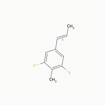 C/C=C/c1cc(F)c(C)c(F)c1